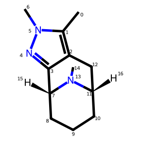 Cc1c2c(nn1C)[C@H]1CCC[C@@H](C2)N1C